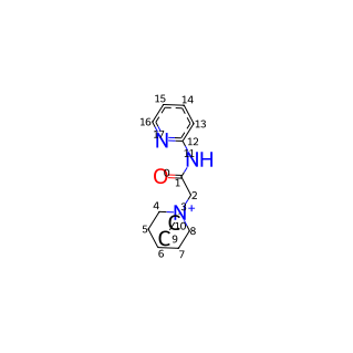 O=C(C[N+]12CCC(CC1)CC2)Nc1ccccn1